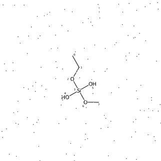 CCO[Si](O)(O)OC